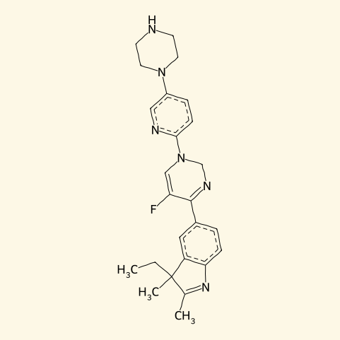 CCC1(C)C(C)=Nc2ccc(C3=NCN(c4ccc(N5CCNCC5)cn4)C=C3F)cc21